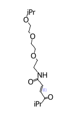 CC(C)OCCOCCOCCNC(=O)/C=C/C(=O)C(C)C